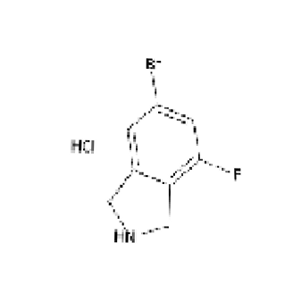 Cl.Fc1cc(Br)cc2c1CNC2